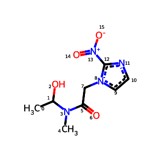 CC(O)N(C)C(=O)Cn1ccnc1[N+](=O)[O-]